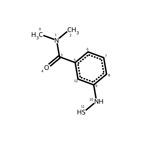 CN(C)C(=O)c1cccc(NS)c1